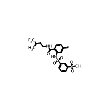 C=C(CCNC(=O)c1ccc(F)cc1NS(=O)(=O)c1cccc(S(C)(=O)=O)c1)C(F)(F)F